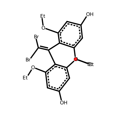 CCOc1cc(O)cc(OCC)c1C(=C(Br)Br)c1c(OCC)cc(O)cc1OCC